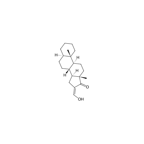 C[C@]12CCCC[C@@H]1CC[C@@H]1[C@@H]2CC[C@]2(C)C(=O)/C(=C\O)C[C@@H]12